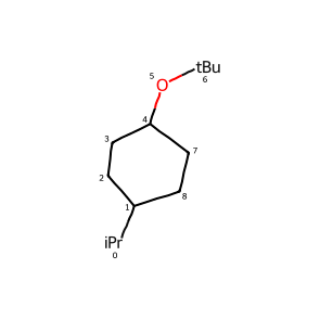 CC(C)C1CCC(OC(C)(C)C)CC1